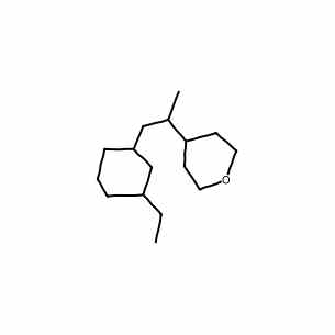 CCC1CCCC(CC(C)C2CCOCC2)C1